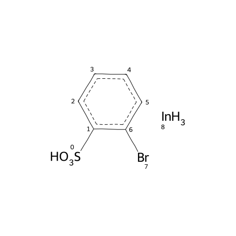 O=S(=O)(O)c1ccccc1Br.[InH3]